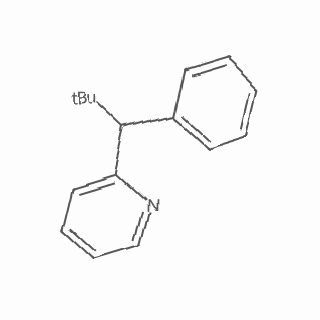 CC(C)(C)C(c1ccccc1)c1ccccn1